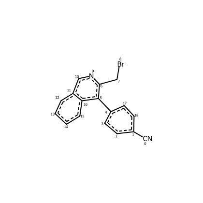 N#Cc1ccc(-c2c(CBr)ncc3ccccc23)cc1